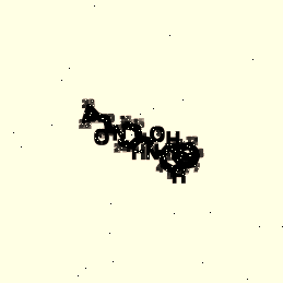 O=C(NC1CC[C@@H]2CC3CC1[C@@H](C3)C2)C1CCN(C(=O)CC2CC2)CC1